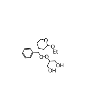 CCOC1CCCCO1.OCC(CO)OOCc1ccccc1